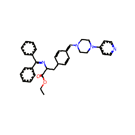 CCOC(=O)C(CC1C=CC(=CN2CCN(c3ccncc3)CC2)C=C1)N=C(c1ccccc1)c1ccccc1